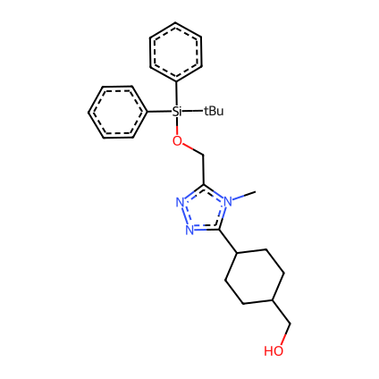 Cn1c(CO[Si](c2ccccc2)(c2ccccc2)C(C)(C)C)nnc1C1CCC(CO)CC1